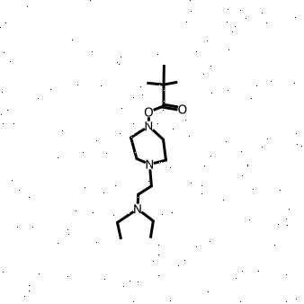 CCN(CC)CCN1CCN(OC(=O)C(C)(C)C)CC1